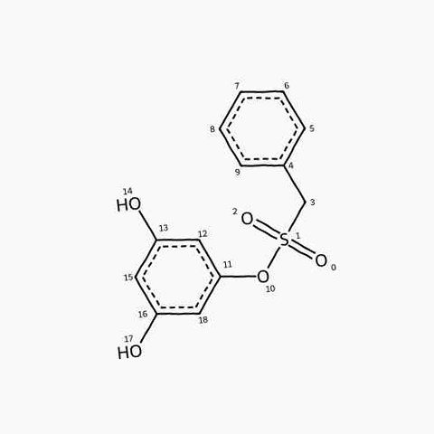 O=S(=O)(Cc1ccccc1)Oc1cc(O)cc(O)c1